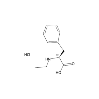 CCN[C@@H](Cc1ccccc1)C(=O)O.Cl